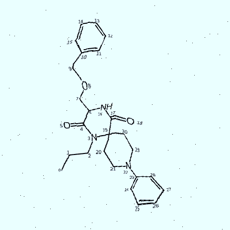 CCCN1C(=O)C(COCc2ccccc2)NC(=O)C12CCN(c1ccccc1)CC2